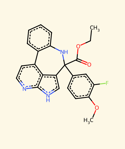 CCOC(=O)C1(c2ccc(OC)c(F)c2)Nc2ccccc2-c2ccnc3[nH]cc1c23